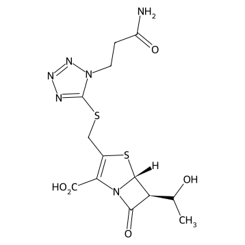 CC(O)[C@H]1C(=O)N2C(C(=O)O)=C(CSc3nnnn3CCC(N)=O)S[C@H]12